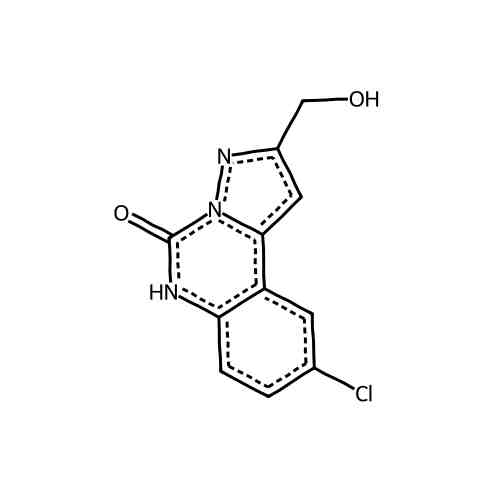 O=c1[nH]c2ccc(Cl)cc2c2cc(CO)nn12